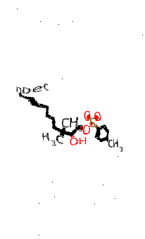 CCCCCCCCCCCCCCCCCC(C)(C)C(O)COS(=O)(=O)c1ccc(C)cc1